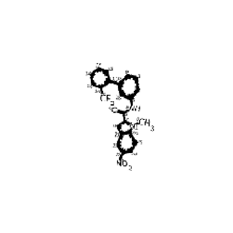 Cn1c(C(=O)Nc2cccc(-c3ccccc3C(F)(F)F)c2)cc2cc([N+](=O)[O-])ccc21